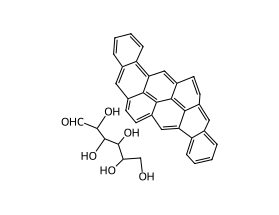 O=CC(O)C(O)C(O)C(O)CO.c1ccc2c(c1)cc1ccc3cc4c5ccccc5cc5ccc6cc2c1c3c6c54